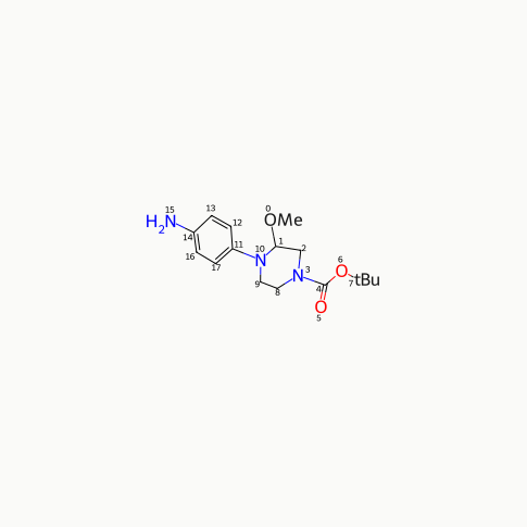 COC1CN(C(=O)OC(C)(C)C)CCN1c1ccc(N)cc1